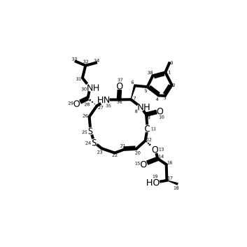 Cc1cccc(C[C@H]2NC(=O)C[C@H](OC(=O)C[C@@H](C)O)/C=C/CCSSC[C@H](C(=O)NCC(C)C)NC2=O)c1